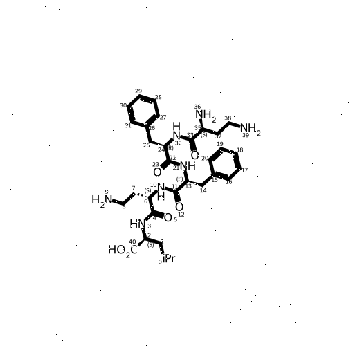 CC(C)C[C@H](NC(=O)[C@H](CCN)NC(=O)[C@H](Cc1ccccc1)NC(=O)[C@@H](Cc1ccccc1)NC(=O)[C@@H](N)CCN)C(=O)O